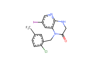 O=C1CNc2ncc(I)cc2N1Cc1cc(C(F)(F)F)ccc1Cl